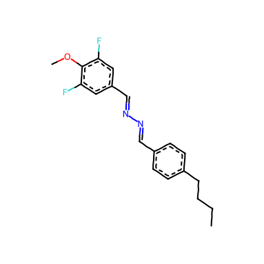 CCCCc1ccc(/C=N/N=C/c2cc(F)c(OC)c(F)c2)cc1